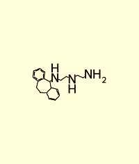 NCCNCCNC1c2ccccc2CCC2C=CC=CC21